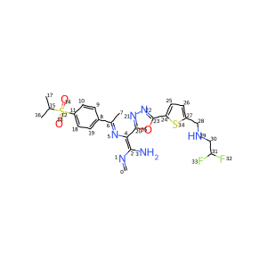 C=N/C(N)=C(\N=C(/C)c1ccc(S(=O)(=O)C(C)C)cc1)c1nnc(-c2ccc(CNCC(F)F)s2)o1